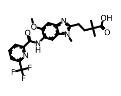 COc1cc2nc(CCC(C)(C)C(=O)O)n(C)c2cc1NC(=O)c1cccc(C(F)(F)F)n1